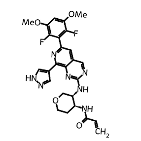 C=CC(=O)N[C@H]1CCOC[C@H]1Nc1ncc2cc(-c3c(F)c(OC)cc(OC)c3F)nc(-c3cn[nH]c3)c2n1